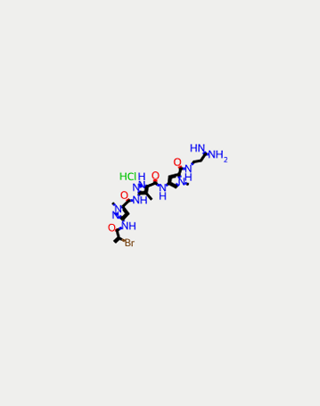 C=C(Br)C(=O)Nc1cc(C(=O)Nc2n[nH]c(C(=O)Nc3cc(C(=O)NCCC(=N)N)n(C)c3)c2C)n(C)n1.Cl